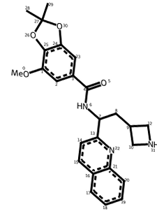 COc1cc(C(=O)NC(CC2CNC2)c2ccc3ccccc3n2)cc2c1OC(C)(C)O2